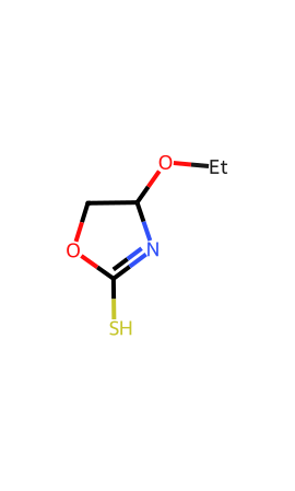 CCOC1COC(S)=N1